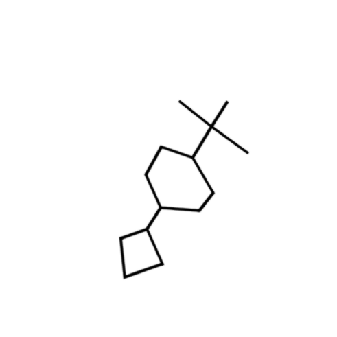 CC(C)(C)C1CCC(C2CCC2)CC1